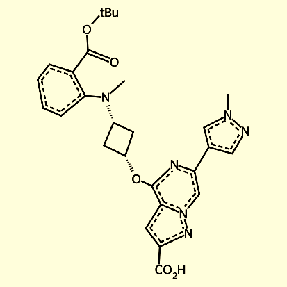 Cn1cc(-c2cn3nc(C(=O)O)cc3c(O[C@H]3C[C@@H](N(C)c4ccccc4C(=O)OC(C)(C)C)C3)n2)cn1